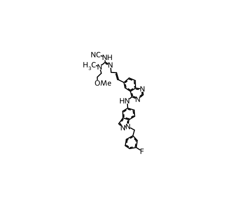 COCCN(C)C(=NCC=Cc1ccc2ncnc(Nc3ccc4c(cnn4Cc4cccc(F)c4)c3)c2c1)NC#N